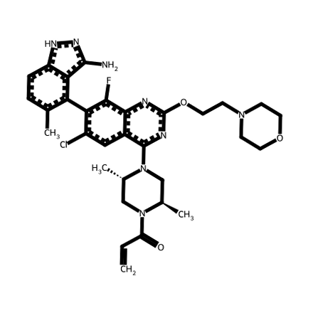 C=CC(=O)N1C[C@H](C)N(c2nc(OCCN3CCOCC3)nc3c(F)c(-c4c(C)ccc5[nH]nc(N)c45)c(Cl)cc23)C[C@H]1C